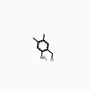 Cc1cc(CCl)c([N+](=O)[O-])cc1C